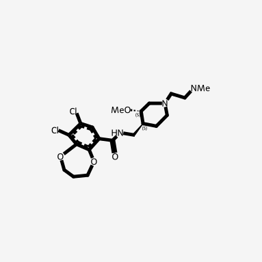 CNCCN1CC[C@@H](CNC(=O)c2cc(Cl)c(Cl)c3c2OCCCO3)[C@H](OC)C1